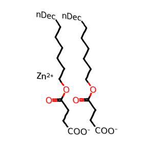 CCCCCCCCCCCCCCCCOC(=O)CCC(=O)[O-].CCCCCCCCCCCCCCCCOC(=O)CCC(=O)[O-].[Zn+2]